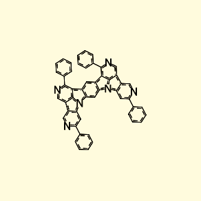 c1ccc(-c2cc3c(cn2)c2cnc(-c4ccccc4)c4c5cc6c7c(-c8ccccc8)ncc8c9cnc(-c%10ccccc%10)cc9n(c6cc5n3c24)c87)cc1